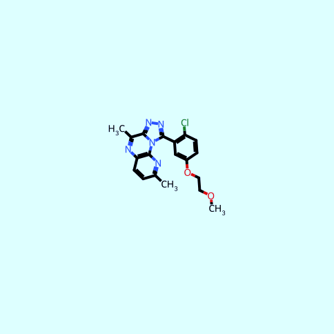 COCCOc1ccc(Cl)c(-c2nnc3c(C)nc4ccc(C)nc4n23)c1